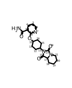 NC(=O)c1cccnc1OC1CCC(N2C(=O)C3CCCCN3C2=O)CC1